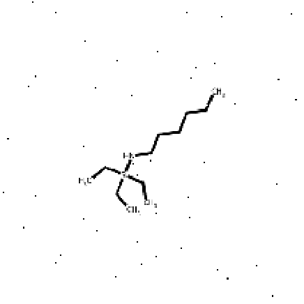 CCCCCCN[Si](CC)(CC)CC